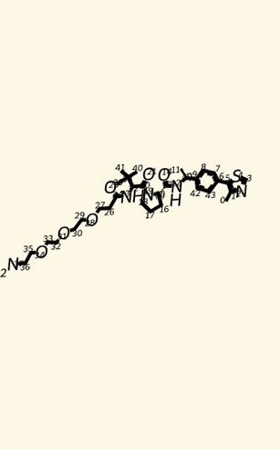 Cc1ncsc1-c1ccc([C@H](C)NC(=O)[C@@H]2CCCN2C(=O)C(NC(=O)CCOCCOCCOCCN)C(C)(C)C)cc1